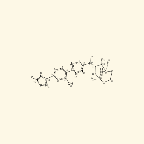 CN(c1cnc(-c2ccc(-c3ncn(C)n3)cc2O)nn1)[C@H]1C[C@]2(C)CCC[C@@H](N2)[C@H]1F